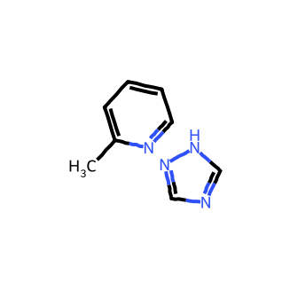 Cc1ccccn1.c1nc[nH]n1